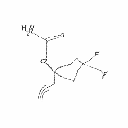 C#CC1(OC(N)=O)CC(F)(F)C1